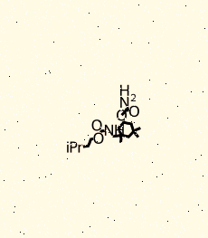 CC(C)CCOC(=O)NCC1(C)CC(OC(N)=O)CC(C)(C)C1